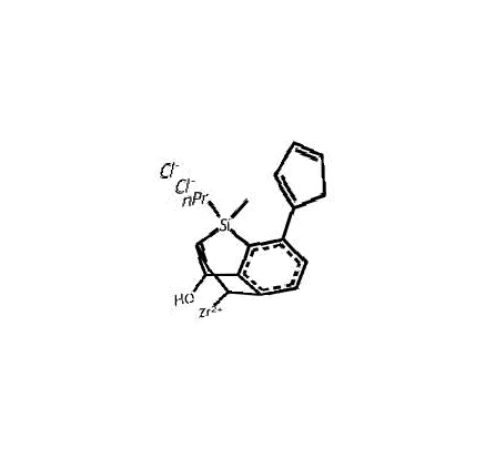 CCC[Si]1(C)C2=C(O)c3c(ccc(C4=CC=CC4)c31)[CH]2[Zr+2].[Cl-].[Cl-]